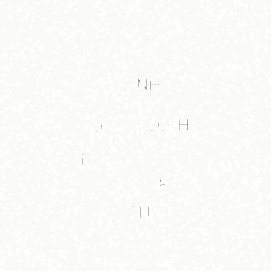 Cc1cc(F)c(C(=O)/C(=C/NC2CC2)C(=O)O)cc1F